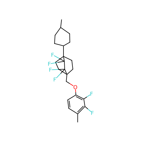 Cc1ccc(OCC23CCC(C4CCC(C)CC4)(CC2)C(F)(F)C3(F)F)c(F)c1F